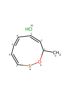 CC1C=CC=CC=CSO1.Cl